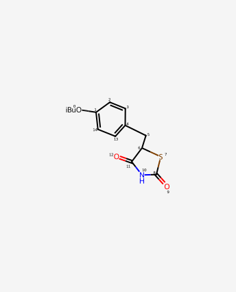 CC(C)COc1ccc(CC2SC(=O)NC2=O)cc1